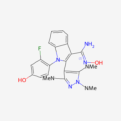 CNc1nn(NC)c(NC)c1-c1c(/C(N)=N/O)c2ccccc2n1-c1ccc(O)cc1F